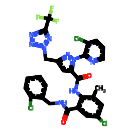 Cc1cc(Cl)cc(C(=O)NCc2ccccc2Cl)c1NC(=O)c1cc(Cn2nnc(C(F)(F)F)n2)nn1-c1ncccc1Cl